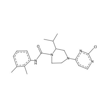 Cc1cccc(NC(=O)N2CCN(c3ccnc(Cl)n3)CC2C(C)C)c1C